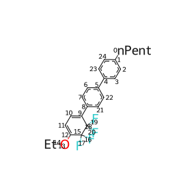 CCCCCc1ccc(-c2ccc(C3=CC=C(OCC)C(F)(F)C3(F)F)cc2)cc1